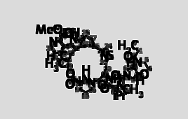 C=CC(=O)N1CCO[C@@H]2CN(C(=O)N(C)[C@H](C(=O)N[C@H]3Cc4nc(cs4)-c4ccc5c(c4)c(c(-c4cccnc4[C@H](C)OC)n5CC)CC(C)(C)COC(=O)[C@@H]4CCCN(N4)C3=O)C(C)C)C[C@H]21